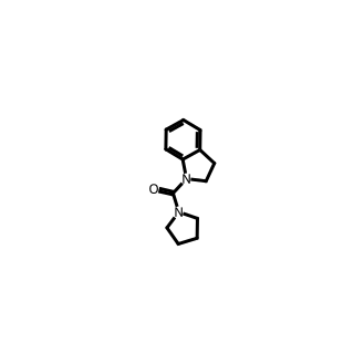 O=C(N1CCCC1)N1CCc2ccccc21